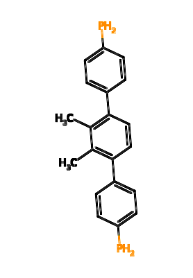 Cc1c(-c2ccc(P)cc2)ccc(-c2ccc(P)cc2)c1C